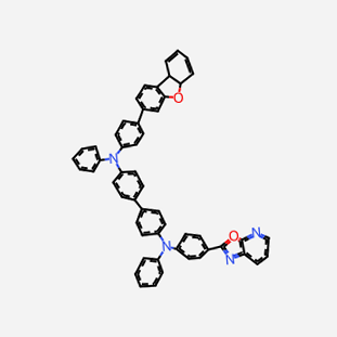 C1=CC2Oc3cc(-c4ccc(N(c5ccccc5)c5ccc(-c6ccc(N(c7ccccc7)c7ccc(-c8nc9cccnc9o8)cc7)cc6)cc5)cc4)ccc3C2C=C1